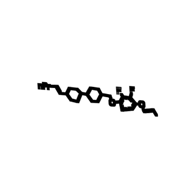 C/C=C/Oc1ccc(OCC2CCC(C3CCC(/C=C/CCC)CC3)CC2)c(F)c1F